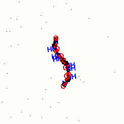 O=C=NCc1ccc(NC(=O)OCCCNC(=O)Nc2ccc3c(c2)Cc2cc(NC(=O)NCCCOC(=O)Nc4ccc(CN=C=O)cc4)ccc2-3)cc1